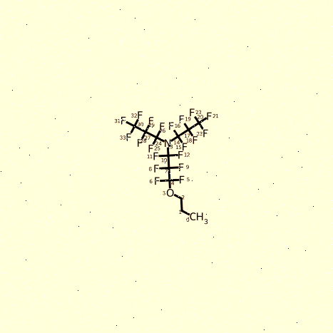 CCCOC(F)(F)C(F)(F)C(F)(F)N(C(F)(F)C(F)(F)C(F)(F)F)C(F)(F)C(F)(F)C(F)(F)F